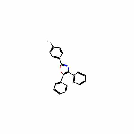 CC(C)c1ccc(-c2nc(-c3ccccc3)c(-c3ccccc3)o2)cc1